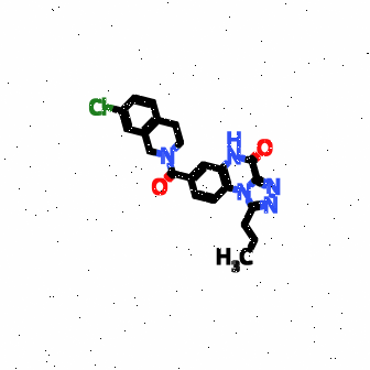 CCCc1nnc2c(=O)[nH]c3cc(C(=O)N4CCc5ccc(Cl)cc5C4)ccc3n12